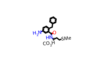 CSCC[C@H](NC(=O)c1cc(N)ccc1Cc1ccccc1)C(=O)O